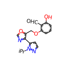 CC(C)n1nccc1-c1ncoc1COc1cccc(O)c1C=O